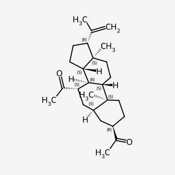 C=C(C)[C@H]1CC[C@H]2[C@@H]3[C@@H](C(C)=O)C[C@@H]4C[C@H](C(C)=O)CC[C@]4(C)[C@H]3CC[C@]12C